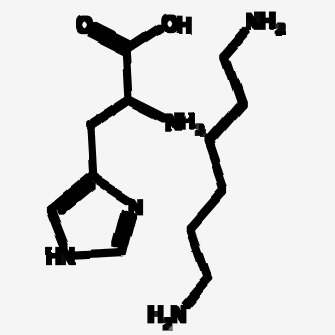 NC(Cc1c[nH]cn1)C(=O)O.NCCCCCCN